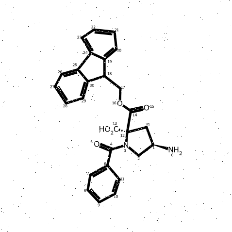 N[C@H]1CN(C(=O)c2ccccc2)[C@@](C(=O)O)(C(=O)OCC2c3ccccc3-c3ccccc32)C1